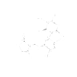 Cn1c(C(F)(F)F)cc(=O)n(-c2cc(OCN3C(=O)CCC3=O)c(Cl)cc2F)c1=O